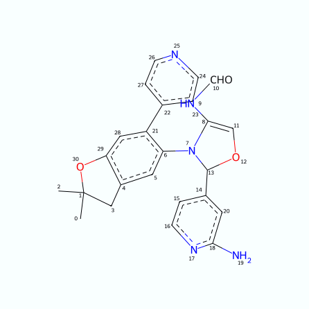 CC1(C)Cc2cc(N3C(NC=O)=COC3c3ccnc(N)c3)c(-c3ccncc3)cc2O1